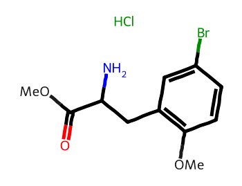 COC(=O)C(N)Cc1cc(Br)ccc1OC.Cl